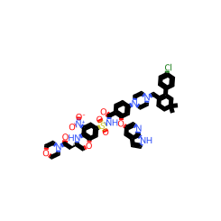 CC1(C)CCC(CN2CCN(c3ccc(C(=O)NS(=O)(=O)c4cc5c(c([N+](=O)[O-])c4)N[C@H](CC(=O)N4CCOCC4)CO5)c(Oc4cnc5[nH]ccc5c4)c3)CC2)=C(c2ccc(Cl)cc2)C1